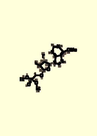 CCOP(=O)(CO[C@H]1O[C@@H](n2cnc3c(OC)ncnc32)[C@@H](F)[C@@H]1C)OCC